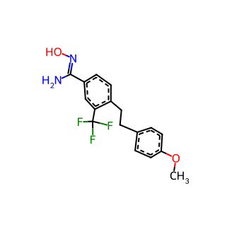 COc1ccc(CCc2ccc(/C(N)=N/O)cc2C(F)(F)F)cc1